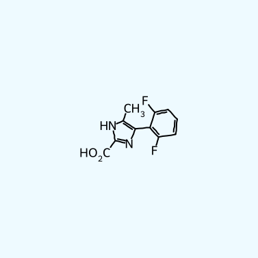 Cc1[nH]c(C(=O)O)nc1-c1c(F)cccc1F